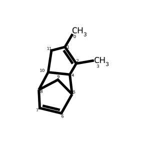 CC1=C(C)C2C3C=CC(C3)C2C1